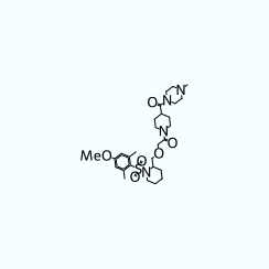 COc1cc(C)c(S(=O)(=O)N2CCCCC2COCC(=O)N2CCC(C(=O)N3CCN(C)CC3)CC2)c(C)c1